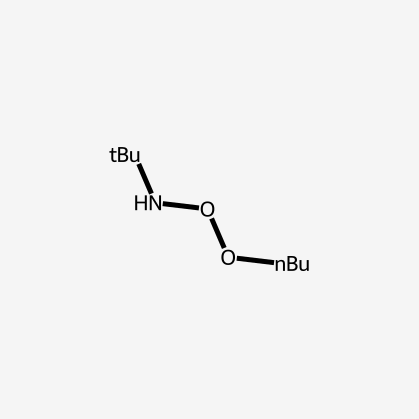 CCCCOONC(C)(C)C